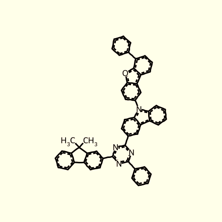 CC1(C)c2ccccc2-c2ccc(-c3nc(-c4ccccc4)nc(-c4ccc5c(c4)c4ccccc4n5-c4ccc5oc6c(-c7ccccc7)cccc6c5c4)n3)cc21